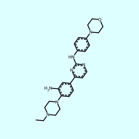 CCN1CCN(c2ccc(-c3ccnc(Nc4ccc(N5CCOCC5)cc4)n3)cc2N)CC1